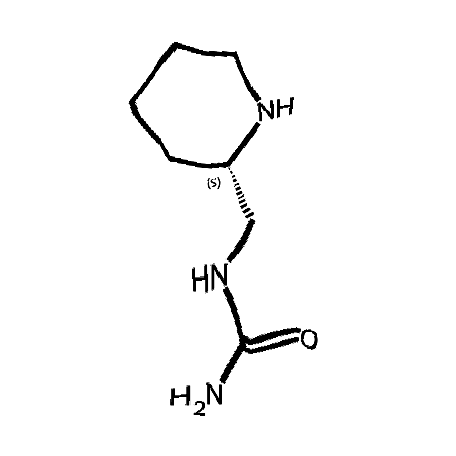 NC(=O)NC[C@@H]1CCCCN1